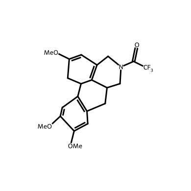 COC1=CC2=C3C(Cc4cc(OC)c(OC)cc4C3C1)CN(C(=O)C(F)(F)F)C2